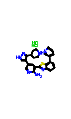 Cl.Cl.Nc1ncc(-c2c[nH]nc2C2CCNCC2)cc1-c1nc2cccc(-c3cccnc3)c2s1